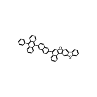 c1ccc(-c2c3ccccc3c(-c3ccc4cc(-c5cc6oc7cc8c(cc7c6c6ccccc56)sc5ccccc58)ccc4c3)c3ccccc23)cc1